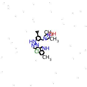 Cc1ccc2c(-c3nc(Nc4cc(CN5CC(C)N(O)C(C)C5)cc(C5CC5)c4)ncc3Cl)c[nH]c2c1